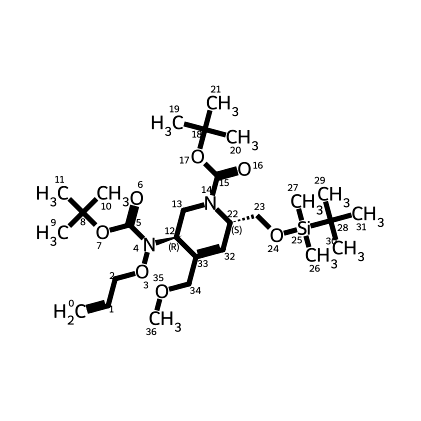 C=CCON(C(=O)OC(C)(C)C)[C@H]1CN(C(=O)OC(C)(C)C)[C@H](CO[Si](C)(C)C(C)(C)C)C=C1COC